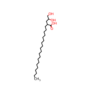 CCCCCCCCCCCCCCCCCCCCC(CC(O)CO)C(=O)O